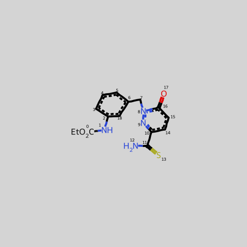 CCOC(=O)Nc1cccc(Cn2nc(C(N)=S)ccc2=O)c1